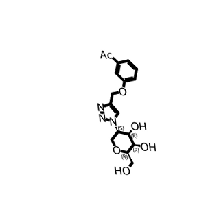 CC(=O)c1cccc(OCc2cn([C@H]3CO[C@H](CO)[C@H](O)[C@@H]3O)nn2)c1